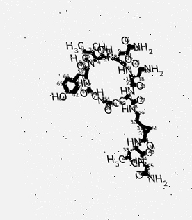 CCC(C)C1C(=O)N[C@@H](CCC(N)=O)C(=O)N[C@@H](CC(N)=O)C(=O)N[C@@H](C(=O)NCCC2CC2C(=O)N[C@@H](CC(C)C)C(=O)NCC(N)=O)CCC(=O)NCC(=O)N[C@@H](Cc2ccc(O)cc2)C(=O)N1C